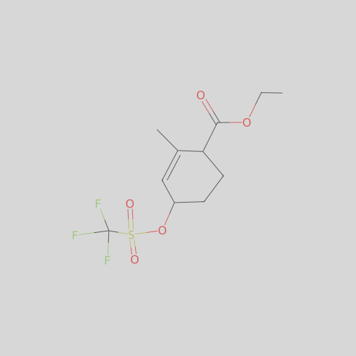 CCOC(=O)C1CCC(OS(=O)(=O)C(F)(F)F)C=C1C